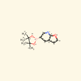 CC1(C)OB(c2cnc3occc3c2)OC1(C)C